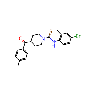 Cc1ccc(C(=O)C2CCN(C(=S)Nc3ccc(Br)cc3C)CC2)cc1